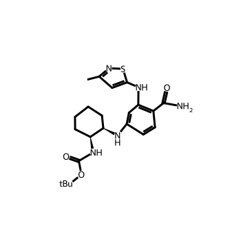 Cc1cc(Nc2cc(N[C@@H]3CCCC[C@@H]3NC(=O)OC(C)(C)C)ccc2C(N)=O)sn1